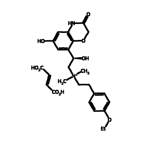 CCOc1ccc(CC[N+](C)(C)C[C@H](O)c2cc(O)cc3c2OCC(=O)N3)cc1.O=C(O)/C=C/C(=O)O